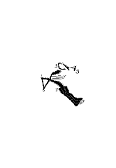 [C]#CC1(C)CC1